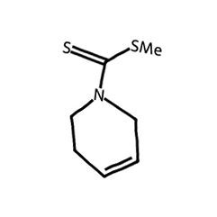 CSC(=S)N1CC=CCC1